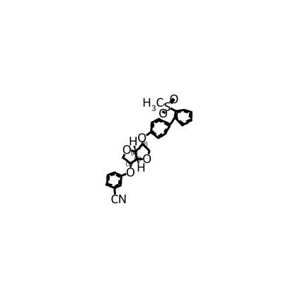 CS(=O)(=O)c1ccccc1-c1ccc(O[C@@H]2CO[C@H]3[C@@H]2OC[C@@H]3Oc2cccc(C#N)c2)cc1